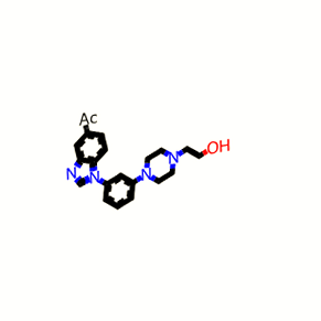 CC(=O)c1ccc2c(c1)ncn2-c1cccc(N2CCN(CCO)CC2)c1